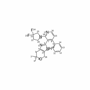 CC1(C)Cc2nc(-c3c(-c4ccccc4)ccnc3N3CCC(F)(F)C3)[nH]c2CO1